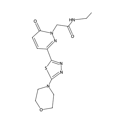 CCNC(=O)Cn1nc(-c2nnc(N3CCOCC3)s2)ccc1=O